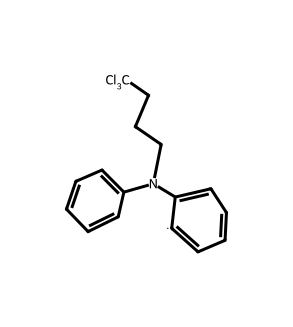 ClC(Cl)(Cl)CCCN(c1[c]cccc1)c1ccccc1